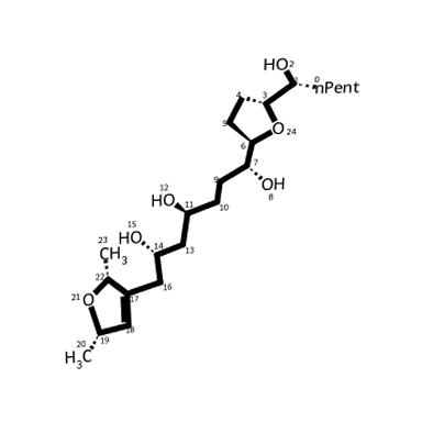 CCCCC[C@@H](O)[C@H]1CC[C@H]([C@H](O)CC[C@H](O)C[C@@H](O)CC2=C[C@H](C)O[C@@H]2C)O1